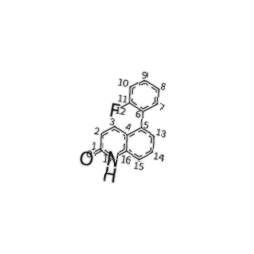 O=c1ccc2c(-c3ccccc3F)cccc2[nH]1